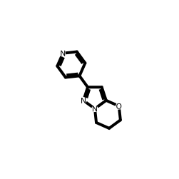 c1cc(-c2cc3n(n2)CCCO3)ccn1